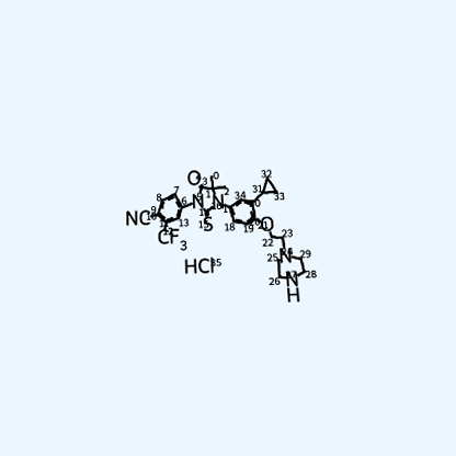 CC1(C)C(=O)N(c2ccc(C#N)c(C(F)(F)F)c2)C(=S)N1c1ccc(OCCN2CCNCC2)c(C2CC2)c1.Cl